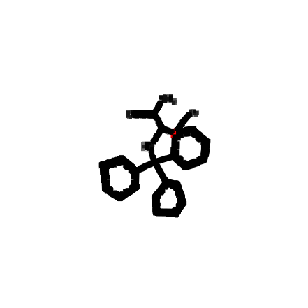 CC(C)CC(NC(c1ccccc1)(c1ccccc1)c1ccccc1)C(N)=O